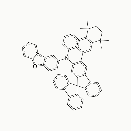 CC1(C)CCC(C)(C)c2cc(-c3cc4c(cc3N(c3ccccc3)c3ccc5oc6ccccc6c5c3)C3(c5ccccc5-c5ccccc53)c3ccccc3-4)ccc21